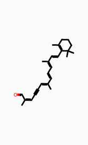 CC(C=O)=CC#CC=C(C)C=CC=C(C)C=CC1=C(C)CCCC1(C)C